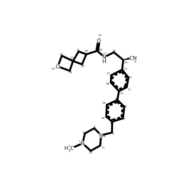 CN1CCN(Cc2ccc(-c3ccc([C@H](C#N)CNC(=O)C4CC5(COC5)C4)cc3)cc2)CC1